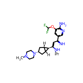 CC(C)N/C(=C\C(=N)c1cnc(N)c(OC(F)F)c1)[C@H]1[C@@H]2C[C@H](N3CCN(C)CC3)C[C@@H]21